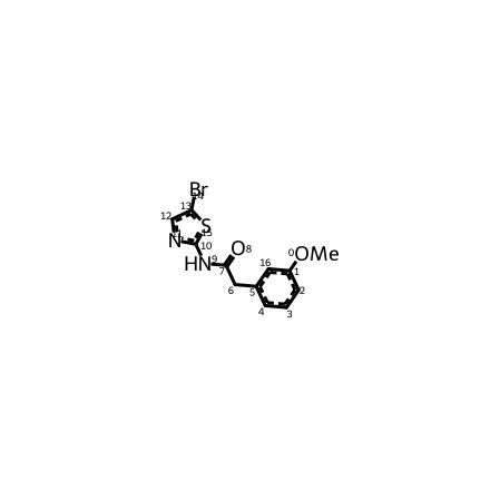 COc1cccc(CC(=O)Nc2ncc(Br)s2)c1